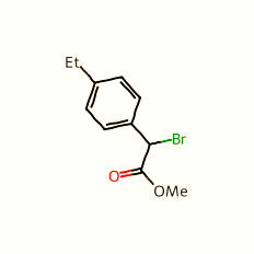 CCc1ccc(C(Br)C(=O)OC)cc1